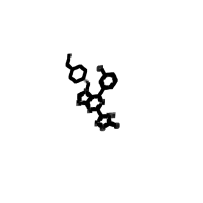 O=c1[nH]c(-c2nc(-c3cccc(Cl)c3)c3c(ncn3C[C@H]3CC[C@H](CF)CC3)n2)no1